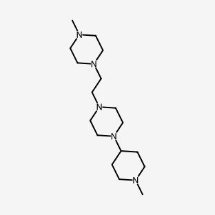 CN1CCC(N2CCN(CCN3CCN(C)CC3)CC2)CC1